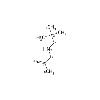 CC(=S)CNCC(C)(C)C